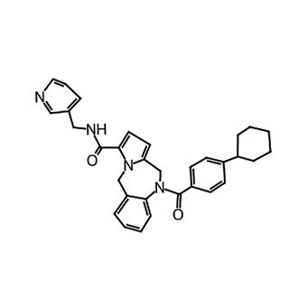 O=C(NCc1cccnc1)c1ccc2n1Cc1ccccc1N(C(=O)c1ccc(C3CCCCC3)cc1)C2